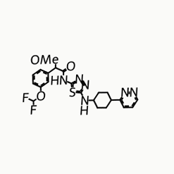 COC(C(=O)Nc1nnc(NC2CCC(c3cccnn3)CC2)s1)c1cccc(OC(F)F)c1